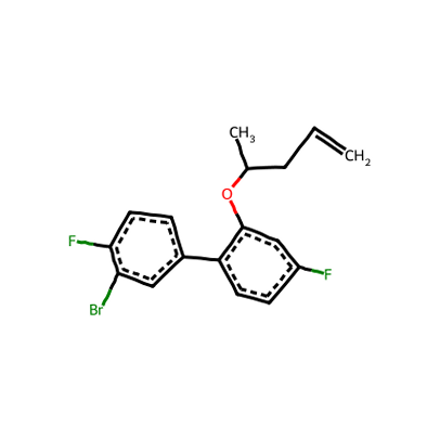 C=CCC(C)Oc1cc(F)ccc1-c1ccc(F)c(Br)c1